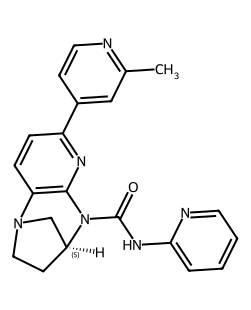 Cc1cc(-c2ccc3c(n2)N(C(=O)Nc2ccccn2)[C@H]2CCN3C2)ccn1